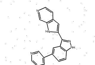 c1cncc(-c2ccc3[nH]nc(-c4cc5ccncc5[nH]4)c3c2)c1